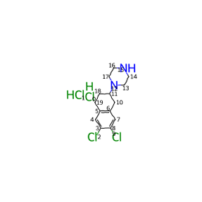 Cl.Cl.Clc1cc2c(cc1Cl)CC(N1CCNCC1)CC2